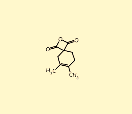 CC1=C(C)CC2(CC1)C(=O)OC2=O